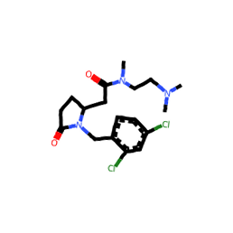 CN(C)CCN(C)C(=O)CC1CCC(=O)N1Cc1ccc(Cl)cc1Cl